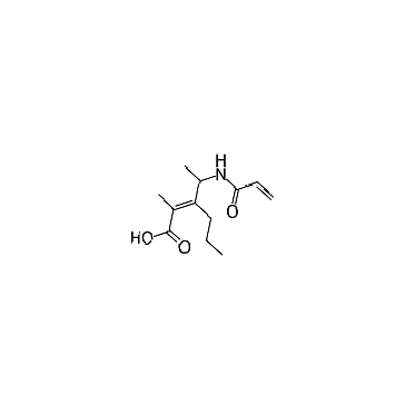 C=CC(=O)NC(C)C(CCC)=C(C)C(=O)O